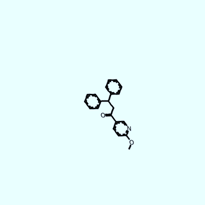 COc1ccc(C(=O)CC(c2ccccc2)c2ccccc2)cn1